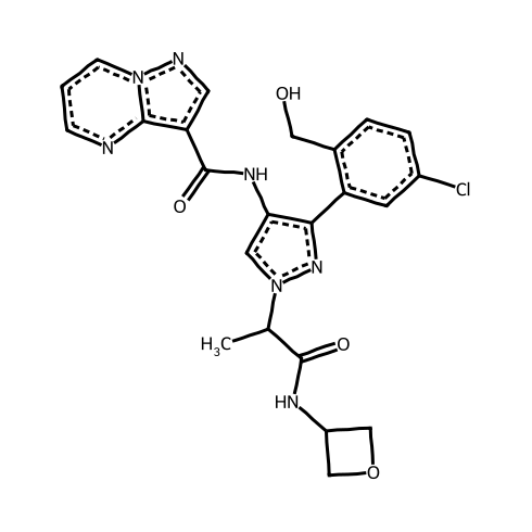 CC(C(=O)NC1COC1)n1cc(NC(=O)c2cnn3cccnc23)c(-c2cc(Cl)ccc2CO)n1